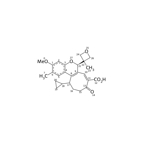 COc1cc2c(cc1C)C1=C(/C=C(/C(=O)O)C(=O)CCC1C1CC1)[C@H](C1(C)COC1)O2